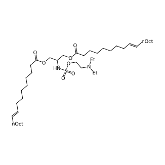 CCCCCCCCC=CCCCCCCCC(=O)OCC(COC(=O)CCCCCCCC=CCCCCCCCC)NS(=O)(=O)OCCN(CC)CC